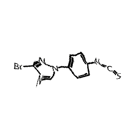 S=C=Nc1ccc(-n2cnc(Br)n2)cc1